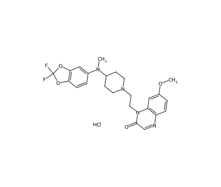 COc1ccc2ncc(=O)n(CCN3CCC(N(C)c4ccc5c(c4)OC(F)(F)O5)CC3)c2c1.Cl